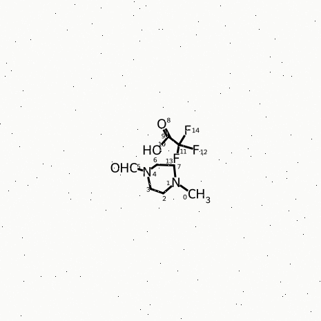 CN1CCN(C=O)CC1.O=C(O)C(F)(F)F